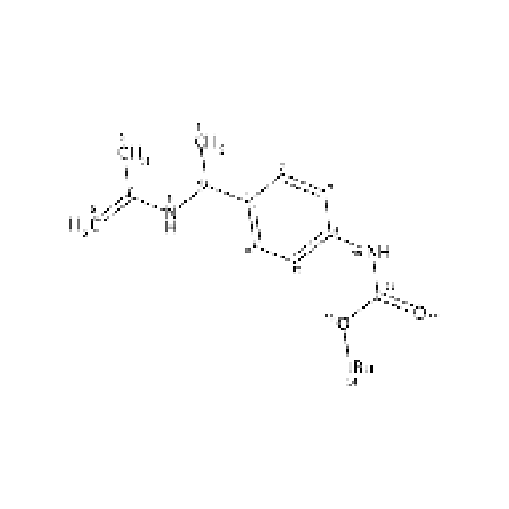 C=C(C)NC(C)c1ccc(NC(=O)OC(C)(C)C)cc1